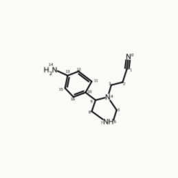 N#CCCN1CCNCC1c1ccc(N)cc1